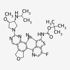 CO[C@@H]1CN(c2ncc3c4c(c(-c5ncc(F)c6sc(NC(=O)OC(C)(C)C)c(C#N)c56)c(F)c3n2)COC4)C[C@@H]1NC(C)C